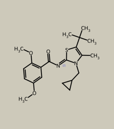 COc1ccc(OC)c(C(=O)/N=c2\sc(C(C)(C)C)c(C)n2CC2CC2)c1